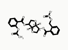 CC(=O)Oc1ccccc1C(=O)OC1CO[C@H]2[C@@H]1OC[C@H]2OC(=O)c1ccccc1CO[N+](=O)[O-]